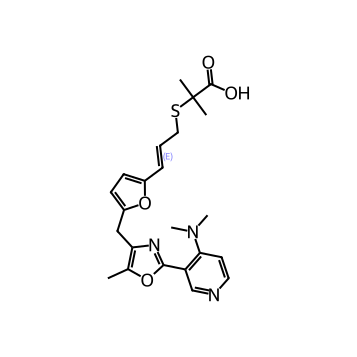 Cc1oc(-c2cnccc2N(C)C)nc1Cc1ccc(/C=C/CSC(C)(C)C(=O)O)o1